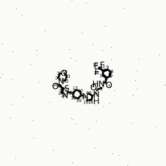 O=C(CNC(=O)c1cccc(C(F)(F)F)c1)N[C@@H]1CCN(C2CCC(c3ncc(C(=O)N4CCOCC4)s3)CC2)C1